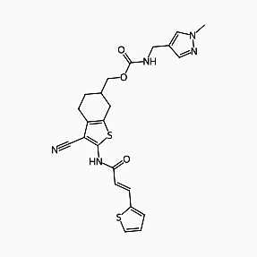 Cn1cc(CNC(=O)OCC2CCc3c(sc(NC(=O)C=Cc4cccs4)c3C#N)C2)cn1